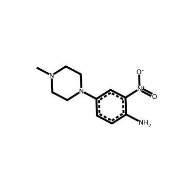 CN1CCN(c2ccc(N)c([N+](=O)[O-])c2)CC1